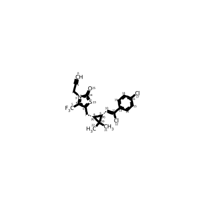 C#CCn1c(C(F)(F)F)c(C[C@@H]2[C@H](C=C(Cl)c3ccc(Cl)cc3)C2(C)C)sc1=O